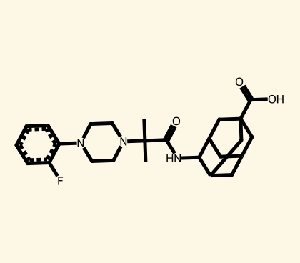 CC(C)(C(=O)NC1C2CC3CC1CC(C(=O)O)(C3)C2)N1CCN(c2ccccc2F)CC1